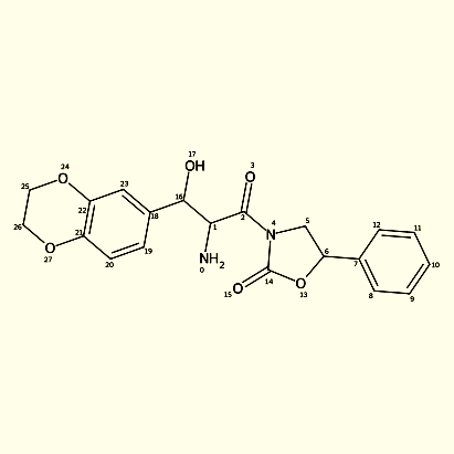 NC(C(=O)N1CC(c2ccccc2)OC1=O)C(O)c1ccc2c(c1)OCCO2